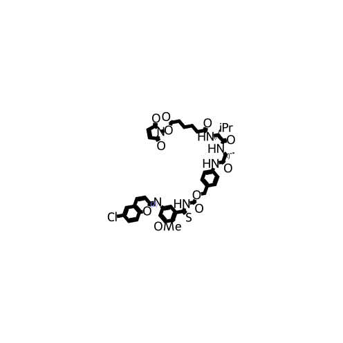 COc1ccc(/N=c2/ccc3cc(Cl)ccc3o2)cc1C(=S)NC(=O)OCc1ccc(NC(=O)[C@@H](C)NC(=O)[C@H](NC(=O)CCCCC(=O)ON2C(=O)C=CC2=O)C(C)C)cc1